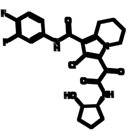 O=C(N[C@H]1CCCC1O)C(=O)c1c(Cl)c(C(=O)Nc2ccc(F)c(F)c2)c2n1CCCC2